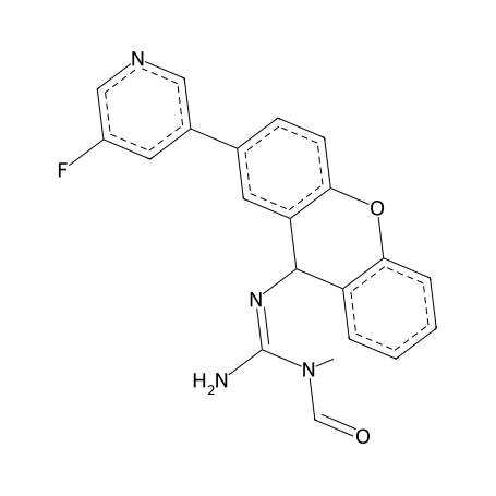 CN(C=O)/C(N)=N\C1c2ccccc2Oc2ccc(-c3cncc(F)c3)cc21